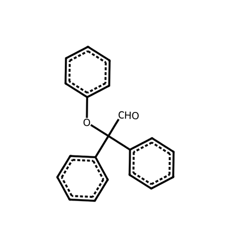 O=CC(Oc1ccccc1)(c1ccccc1)c1ccccc1